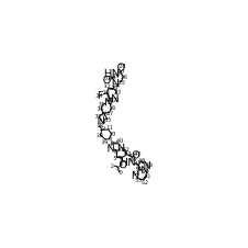 CC(C)Oc1cc2nc([C@H]3CC[C@H](CN4CC5(CCN(c6ncc(N7CCC(=O)NC7=O)cc6F)CC5)C4)CC3)cn2cc1C(=O)Nc1cnn2cccnc12